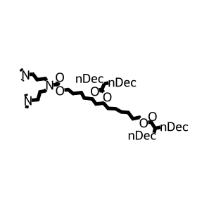 CCCCCCCCCCC(CCCCCCCCCC)C(=O)OCCCCCCC(CCCCCCOC(=O)N(CCCN(C)C)CCCN(C)C)OC(=O)C(CCCCCCCCCC)CCCCCCCCCC